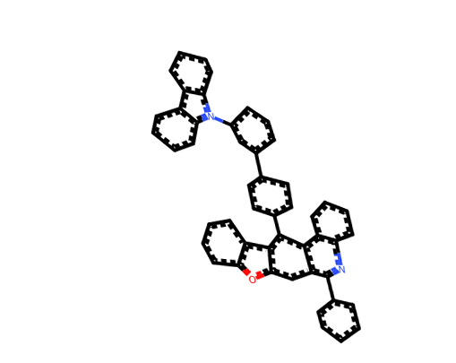 c1ccc(-c2nc3ccccc3c3c(-c4ccc(-c5cccc(-n6c7ccccc7c7ccccc76)c5)cc4)c4c(cc23)oc2ccccc24)cc1